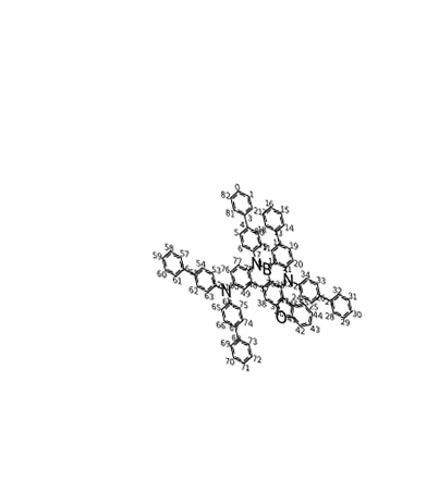 c1ccc(-c2ccc(N3B4c5cc(-c6ccccc6)ccc5N(c5ccc(-c6ccccc6)cc5)c5c4c(cc4oc6ccccc6c54)-c4cc(N(c5ccc(-c6ccccc6)cc5)c5ccc(-c6ccccc6)cc5)ccc43)cc2)cc1